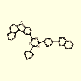 c1ccc(-c2nc(-c3ccc(-c4ccc5ccccc5c4)cc3)nc(-c3ccc4sc5ccc6ccccc6c5c4c3)n2)cc1